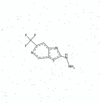 NNc1nc2cc(C(F)(F)F)ncc2s1